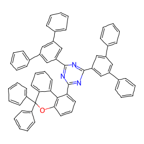 c1ccc(-c2cc(-c3ccccc3)cc(-c3nc(-c4cc(-c5ccccc5)cc(-c5ccccc5)c4)nc(-c4cccc5c4-c4ccccc4C(c4ccccc4)(c4ccccc4)O5)n3)c2)cc1